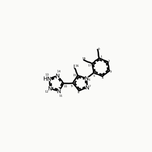 Cc1cccc(-n2ncc(-c3nn[nH]n3)c2I)c1C